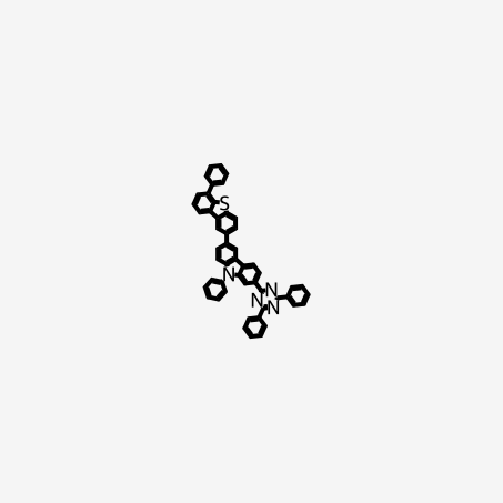 c1ccc(-c2nc(-c3ccccc3)nc(-c3ccc4c5cc(-c6ccc7sc8c(-c9ccccc9)cccc8c7c6)ccc5n(-c5ccccc5)c4c3)n2)cc1